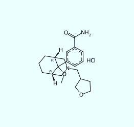 COC1(c2cccc(C(N)=O)c2)[C@@H]2CCC[C@H]1CN(CC1CCOC1)C2.Cl